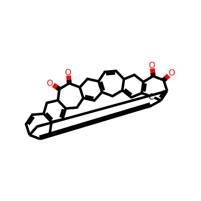 O=C1C(=O)C2=C3C=C4CC5=C(C=CC4C2)CC2C(=O)C(=O)C4CC6=C(C=C4CC2=C5)CC2=CC(=C1CC2C=C6)C3